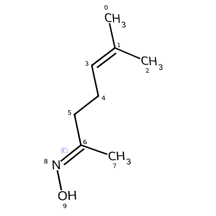 CC(C)=CCC/C(C)=N/O